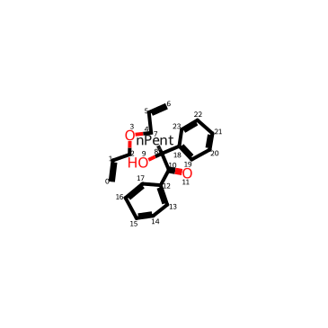 C=CCOCC=C.CCCCCC(O)(C(=O)c1ccccc1)c1ccccc1